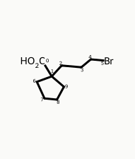 O=C(O)C1(CCCBr)CCCC1